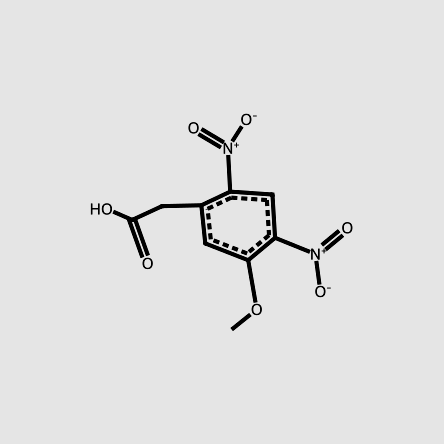 COc1cc(CC(=O)O)c([N+](=O)[O-])cc1[N+](=O)[O-]